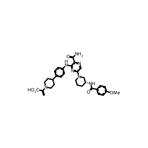 C=C(C(=O)O)N1CCC(c2ccc(Nc3nc(N4CCC[C@@H](NC(=O)c5ccc(OC)cc5)C4)cnc3C(N)=O)cc2)CC1